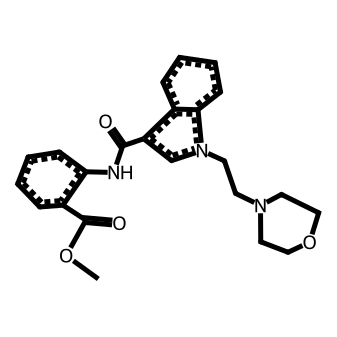 COC(=O)c1ccccc1NC(=O)c1cn(CCN2CCOCC2)c2ccccc12